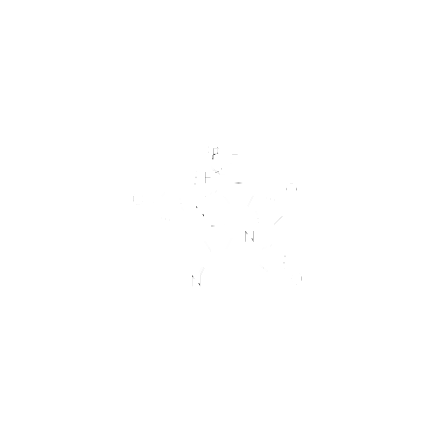 COc1ccc2c(c1)c1cc(OC)ccc1n2-c1cc(C#N)cc(-n2c3ccc(OC)cc3c3cc(OC)ccc32)c1-c1cc(C)cc(C(F)(F)F)c1